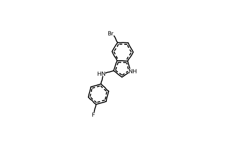 Fc1ccc(Nc2c[nH]c3ccc(Br)cc23)cc1